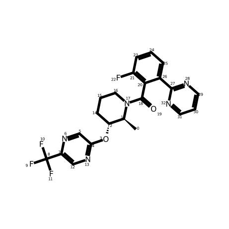 C[C@H]1[C@H](Oc2cnc(C(F)(F)F)cn2)CCCN1C(=O)c1c(F)cccc1-c1ncccn1